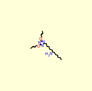 C/C=C/COc1nc(CCCCCC(N)CCCCCC)nc(OC/C=C/C)n1